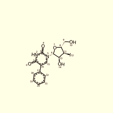 O=c1[nH]c(=O)n([C@@H]2O[C@H](CO)[C@@H](I)[C@H]2O)cc1-c1ccccc1